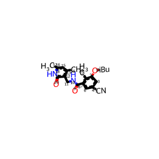 CCC(C)Oc1cc(C#N)cc(C(=O)NCc2c(C)cc(C)[nH]c2=O)c1C